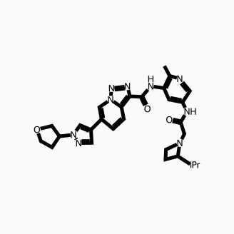 Cc1ncc(NC(=O)CN2CCC2C(C)C)cc1NC(=O)c1nnn2cc(-c3cnn(C4CCOC4)c3)ccc12